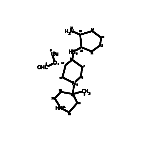 CC(C)(C)OC=O.CC1(N2CCC(NC3CCCCC3N)CC2)CCNCC1